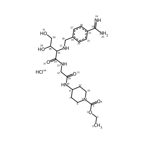 CCOC(=O)N1CCC(NC(=O)CNC(=O)C(NCc2ccc(C(=N)N)cc2)C(O)CO)CC1.Cl